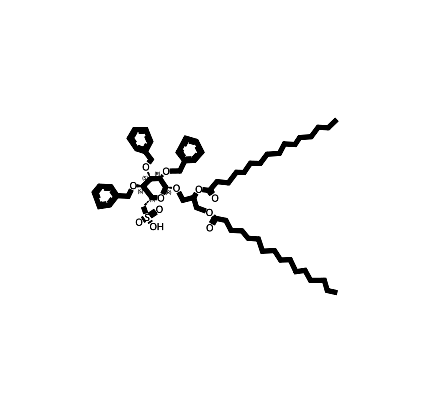 CCCCCCCCCCCCCCCC(=O)OCC(CO[C@@H]1O[C@H](CS(=O)(=O)O)[C@@H](OCc2ccccc2)[C@H](OCc2ccccc2)[C@H]1OCc1ccccc1)OC(=O)CCCCCCCCCCCCCCC